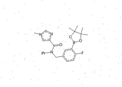 CC(C)N(Cc1ccc(F)c(B2OC(C)(C)C(C)(C)O2)c1)C(=O)c1cn(C)cn1